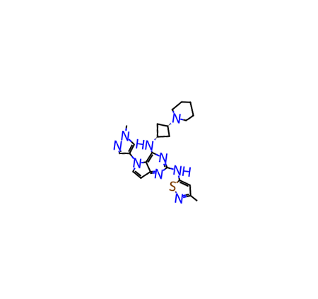 Cc1cc(Nc2nc(N[C@H]3C[C@@H](N4CCCCC4)C3)c3c(ccn3-c3cnn(C)c3)n2)sn1